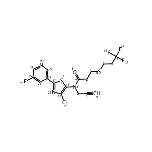 C#CCN(C(=O)CCSCCC(F)(F)F)c1sc(-c2cncc(F)c2)nc1Cl